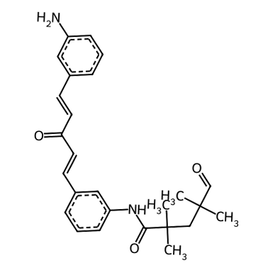 CC(C)(C=O)CC(C)(C)C(=O)Nc1cccc(/C=C/C(=O)/C=C/c2cccc(N)c2)c1